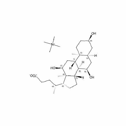 C[C@H](CCC(=O)[O-])[C@H]1CC[C@H]2[C@@H]3[C@H](O)C[C@@H]4C[C@H](O)CC[C@]4(C)[C@H]3C[C@H](O)[C@]12C.C[N+](C)(C)C